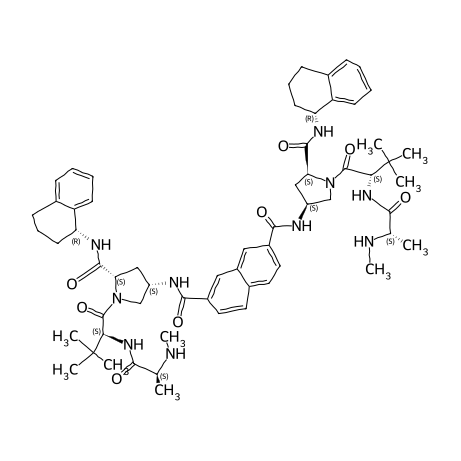 CN[C@@H](C)C(=O)N[C@H](C(=O)N1C[C@@H](NC(=O)c2ccc3ccc(C(=O)N[C@H]4C[C@@H](C(=O)N[C@@H]5CCCc6ccccc65)N(C(=O)[C@@H](NC(=O)[C@H](C)NC)C(C)(C)C)C4)cc3c2)C[C@H]1C(=O)N[C@@H]1CCCc2ccccc21)C(C)(C)C